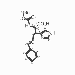 CC(C)(C)OC(=O)N[C@H](C(=O)O)C(COCc1ccccc1)c1c[nH]cn1